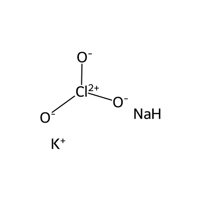 [K+].[NaH].[O-][Cl+2]([O-])[O-]